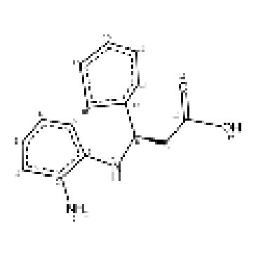 Nc1ccccc1N[C@H](CC(=O)O)c1ccccc1